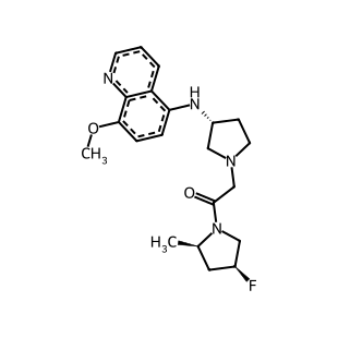 COc1ccc(N[C@@H]2CCN(CC(=O)N3C[C@@H](F)C[C@H]3C)C2)c2cccnc12